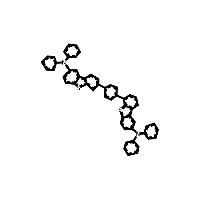 c1ccc(N(c2ccccc2)c2ccc3sc4cc(-c5ccc(-c6cccc7c6sc6ccc(N(c8ccccc8)c8ccccc8)cc67)cc5)ccc4c3c2)cc1